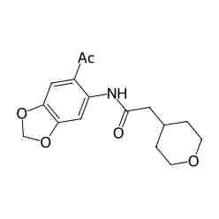 CC(=O)c1cc2c(cc1NC(=O)CC1CCOCC1)OCO2